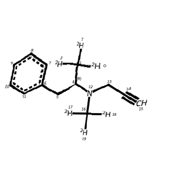 [2H]C([2H])([2H])[C@H](Cc1ccccc1)N(CC#C)C([2H])([2H])[2H]